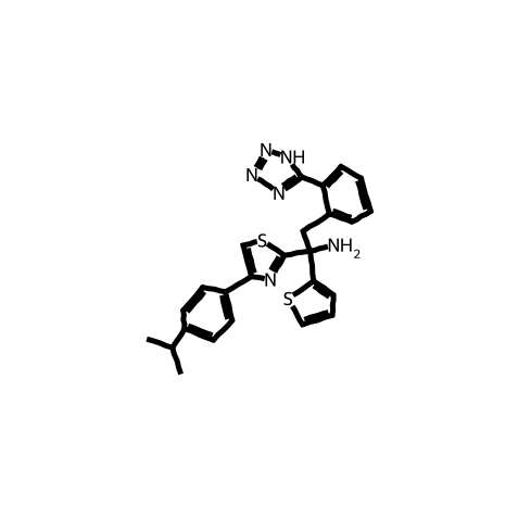 CC(C)c1ccc(-c2csc(C(N)(Cc3ccccc3-c3nnn[nH]3)c3cccs3)n2)cc1